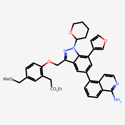 CCOC(=O)Cc1cc(COC)ccc1OCc1nn(C2CCCCO2)c2c(-c3ccoc3)cc(-c3cccc4c(N)nccc34)cc12